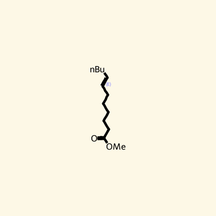 CCCC/C=C/CCCCCC(=O)OC